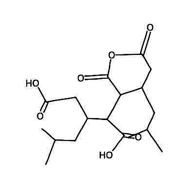 CC(C)CC(CC(=O)O)C(C(=O)O)C1C(=O)OC(=O)CC1CC(C)C